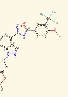 CCOC(=O)CCn1ncc2c(-c3noc(-c4ccc(OC)c(C(F)(F)F)c4)n3)cccc21